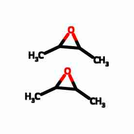 CC1OC1C.CC1OC1C